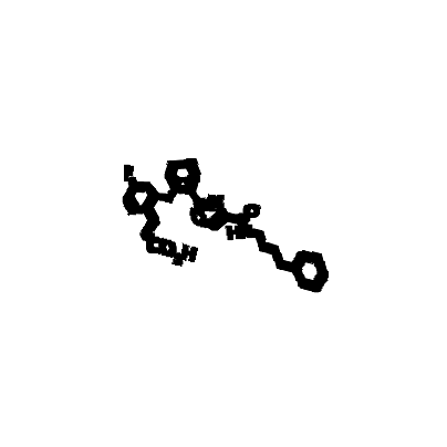 O=C(O)CCc1ccc(F)cc1C[C@H]1C2CCC(O2)[C@H]1c1nc(C(=O)NCCCCC2CCCCC2)co1